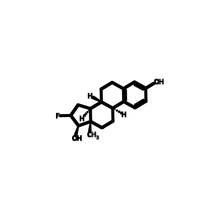 C[C@]12CC[C@@H]3c4ccc(O)cc4CC[C@H]3[C@@H]1CC(F)[C@@H]2O